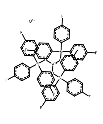 Fc1ccc([Si]([O][V+2]([O][Si](c2ccc(F)cc2)(c2ccc(F)cc2)c2ccc(F)cc2)[O][Si](c2ccc(F)cc2)(c2ccc(F)cc2)c2ccc(F)cc2)(c2ccc(F)cc2)c2ccc(F)cc2)cc1.[O-2]